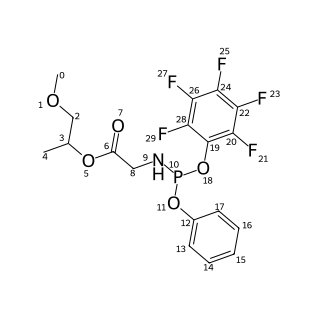 COCC(C)OC(=O)CNP(Oc1ccccc1)Oc1c(F)c(F)c(F)c(F)c1F